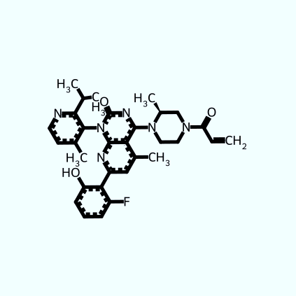 C=CC(=O)N1CCN(c2nc(=O)n(-c3c(C)ccnc3C(C)C)c3nc(-c4c(O)cccc4F)cc(C)c23)[C@@H](C)C1